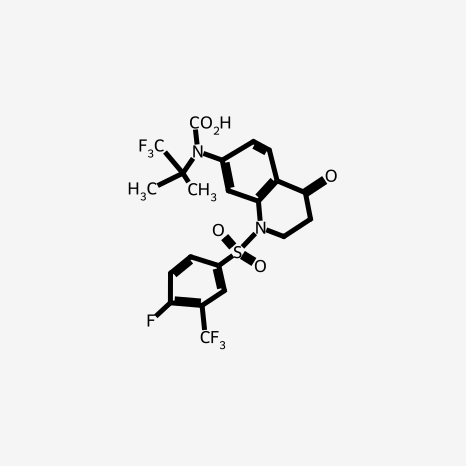 CC(C)(N(C(=O)O)c1ccc2c(c1)N(S(=O)(=O)c1ccc(F)c(C(F)(F)F)c1)CCC2=O)C(F)(F)F